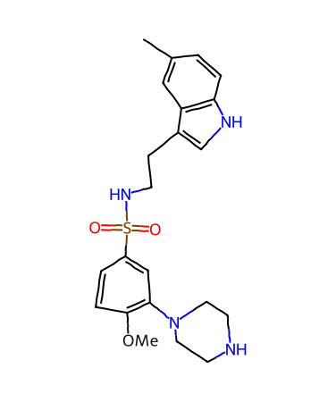 COc1ccc(S(=O)(=O)NCCc2c[nH]c3ccc(C)cc23)cc1N1CCNCC1